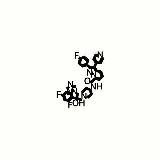 O=C(NC1CCN(CC(O)(Cn2cncn2)c2ccc(F)cc2F)CC1)c1cccc2c(-c3ccncc3)c(-c3ccc(F)cc3)nn12